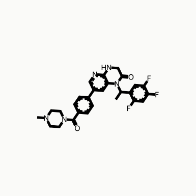 CC(c1cc(F)c(F)cc1F)N1C(=O)CNc2ncc(-c3ccc(C(=O)N4CCN(C)CC4)cc3)cc21